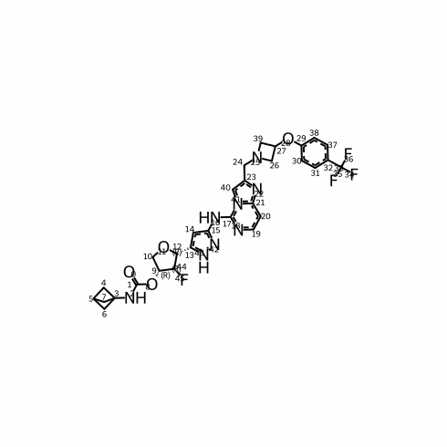 O=C(NC12CC(C1)C2)O[C@@H]1CO[C@H](c2cc(Nc3nccc4nc(CN5CC(Oc6ccc(C(F)(F)F)cc6)C5)cn34)n[nH]2)[C@H]1F